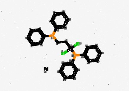 ClC(Cl)(CCP(c1ccccc1)c1ccccc1)P(c1ccccc1)c1ccccc1.[Pd]